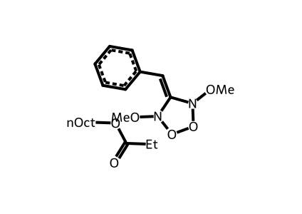 CCCCCCCCOC(=O)CC.CON1OON(OC)C1=Cc1ccccc1